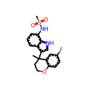 CC1(c2c[nH]c3c(NS(C)(=O)=O)cccc23)CCOc2ccc(F)cc21